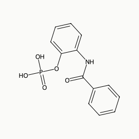 O=C(Nc1ccccc1OP(=O)(O)O)c1ccccc1